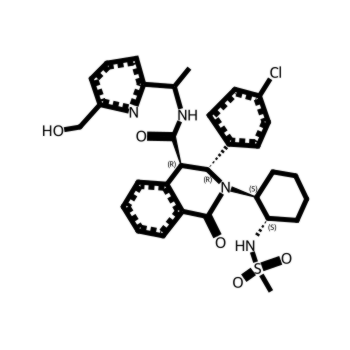 CC(NC(=O)[C@@H]1c2ccccc2C(=O)N([C@H]2CCCC[C@@H]2NS(C)(=O)=O)[C@H]1c1ccc(Cl)cc1)c1cccc(CO)n1